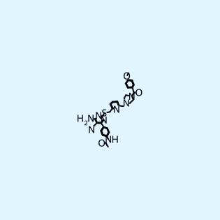 COc1ccc(C(=O)N2CCN(Cc3cccc(CSc4nc(N)c(C#N)c(-c5ccc(NC(C)=O)cc5)n4)n3)CC2)cc1